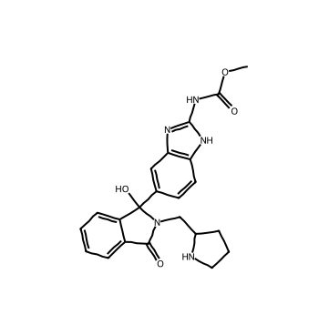 COC(=O)Nc1nc2cc(C3(O)c4ccccc4C(=O)N3CC3CCCN3)ccc2[nH]1